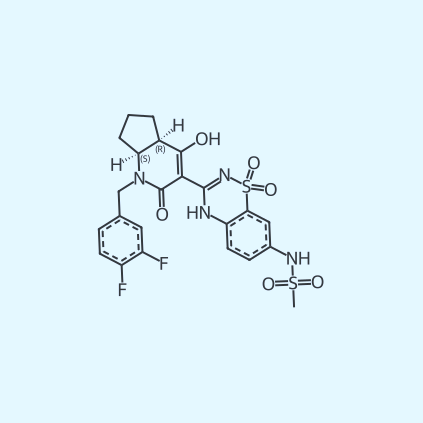 CS(=O)(=O)Nc1ccc2c(c1)S(=O)(=O)N=C(C1=C(O)[C@@H]3CCC[C@@H]3N(Cc3ccc(F)c(F)c3)C1=O)N2